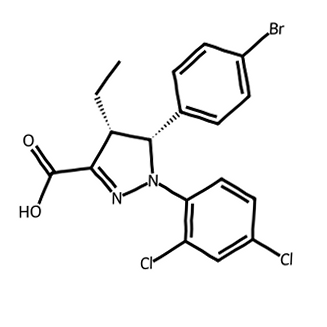 CC[C@H]1C(C(=O)O)=NN(c2ccc(Cl)cc2Cl)[C@H]1c1ccc(Br)cc1